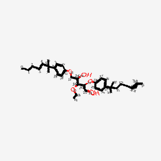 CCCCCC(C)(C)c1ccc(OCC(O)C(OCC)C(CO)Oc2ccc(C(C)(C)CCCCC)cc2)cc1